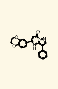 O=c1cc(-c2ccc3c(c2)OCCO3)[nH]c2c(-c3ccccc3)cnn12